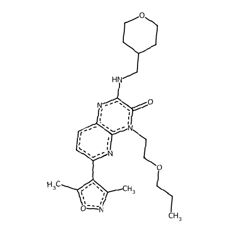 CCCOCCn1c(=O)c(NCC2CCOCC2)nc2ccc(-c3c(C)noc3C)nc21